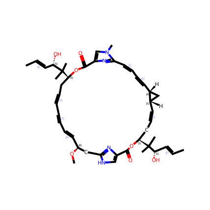 C/C=C/[C@H](O)C(C)(C)[C@@H]1C/C=C\[C@H]2C[C@H]2/C=C/C=C\c2nc(cn2C)C(=O)O[C@H](C(C)(C)[C@@H](O)/C=C/C)C\C=C/C=C\C=C\[C@H](OC)Cc2nc(c[nH]2)C(=O)O1